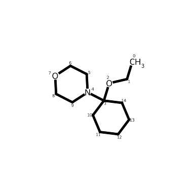 CCOC1(N2CCOCC2)CCCCC1